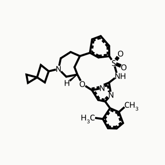 Cc1cccc(C)c1-c1cc2nc(n1)NS(=O)(=O)c1cccc(c1)C1CCN(C3CC4(CC4)C3)C[C@H](C1)O2